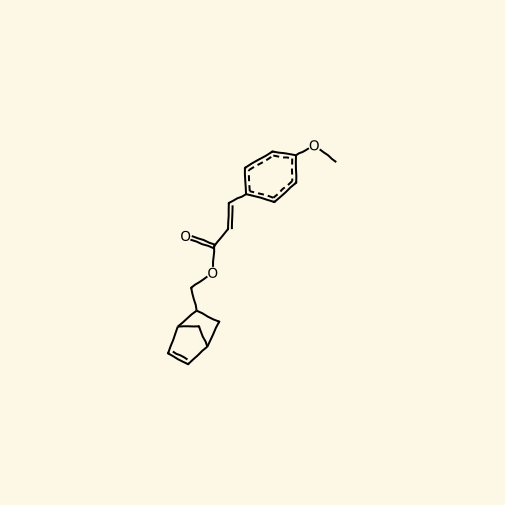 COc1ccc(C=CC(=O)OCC2CC3C=CC2C3)cc1